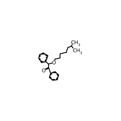 CC(C)CCCCCOC(C(=O)c1ccccc1)c1ccccc1